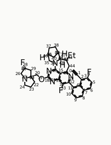 C#Cc1c(F)ccc2cccc(-c3nc4c5c(nc(OC[C@@]67CCCN6C[C@H](F)C7)nc5c3F)N3C[C@H]5CC[C@H](C5)[C@@H]3[C@@H](CC)C4)c12